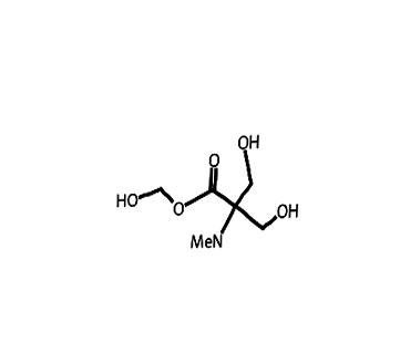 CNC(CO)(CO)C(=O)OCO